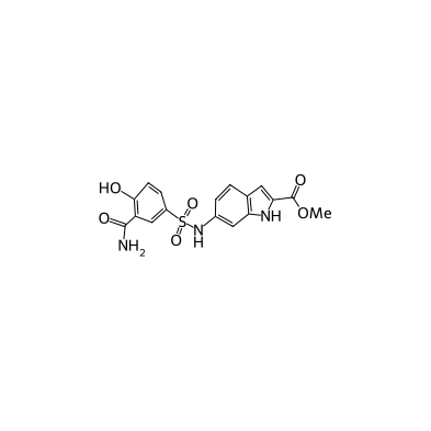 COC(=O)c1cc2ccc(NS(=O)(=O)c3ccc(O)c(C(N)=O)c3)cc2[nH]1